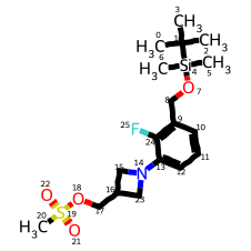 CC(C)(C)[Si](C)(C)OCc1cccc(N2CC(COS(C)(=O)=O)C2)c1F